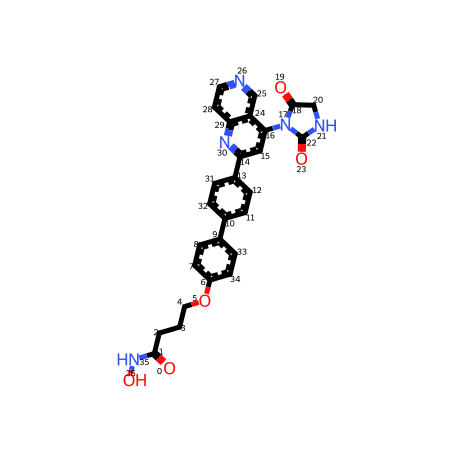 O=C(CCCOc1ccc(-c2ccc(-c3cc(N4C(=O)CNC4=O)c4cnccc4n3)cc2)cc1)NO